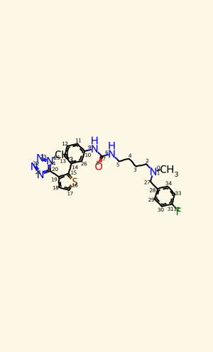 CN(CCCCNC(=O)Nc1cccc(-c2sccc2-c2nnnn2C)c1)Cc1ccc(F)cc1